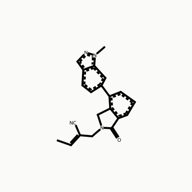 C/C=C(\C#N)CN1Cc2c(cccc2-c2ccc3cnn(C)c3c2)C1=O